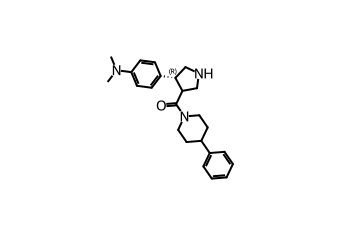 CN(C)c1ccc([C@@H]2CNCC2C(=O)N2CCC(c3ccccc3)CC2)cc1